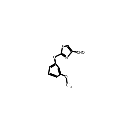 O=Cc1csc(Oc2cccc(OC(F)(F)F)c2)n1